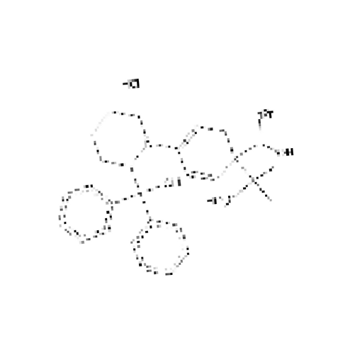 CCCC(O)C1(C(C)(C)C(=O)O)C=CC(N2CCCCC2C(O)(c2ccccc2)c2ccccc2)=CC1.Cl